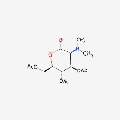 CC(=O)OC[C@H]1O[C@H](Br)[C@@H](N(C)C)[C@@H](OC(C)=O)[C@@H]1OC(C)=O